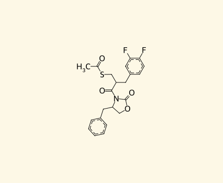 CC(=O)SCC(Cc1ccc(F)c(F)c1)C(=O)N1C(=O)OCC1Cc1ccccc1